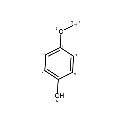 [2H]Oc1ccc(O)cc1